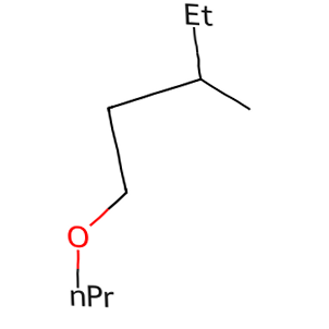 CCCOCCC(C)CC